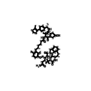 Cc1ncsc1-c1ccc([C@H](C)NC(=O)[C@@H]2C[C@@H](O)CN2C(=O)[C@@H](NC(=O)CCCCCc2c(F)ccc(OC[C@H](CCC(N)=O)NC(=O)[C@@H]3Cc4cccc5c4N3C(=O)[C@@H](NC(=O)OC(C)(C)C)CC5)c2F)C(C)(C)C)cc1